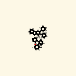 Cc1cccc(Nc2c3c(cc(-c4ccccc4)c2-c2ccccc2)-c2ccccc2C3)c1-c1cccc2oc3ccccc3c12